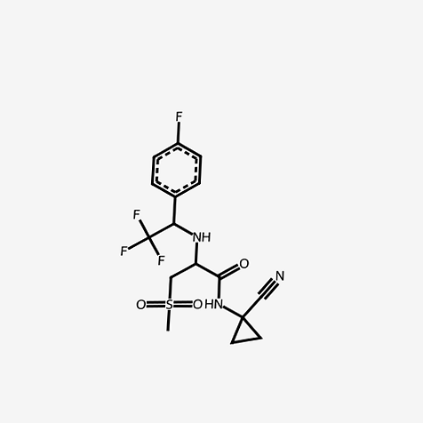 CS(=O)(=O)CC(NC(c1ccc(F)cc1)C(F)(F)F)C(=O)NC1(C#N)CC1